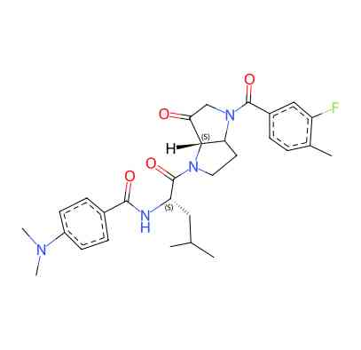 Cc1ccc(C(=O)N2CC(=O)[C@@H]3C2CCN3C(=O)[C@H](CC(C)C)NC(=O)c2ccc(N(C)C)cc2)cc1F